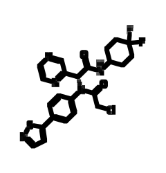 O=C(NC1CCC(F)(F)CC1)[C@@H](c1cnccn1)N(C(=O)CCl)c1ccc(-c2ccns2)cc1